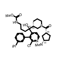 CN[C@H]1CC[C@@H](C(=O)N2CCC[C@@H]([C@@](O)(CCCNC(=O)OC)c3ccnc(Cl)c3-c3cccc(C(C)C)c3)C2)C1